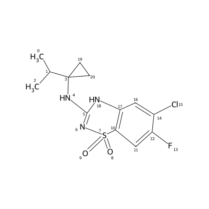 CC(C)C1(NC2=NS(=O)(=O)c3cc(F)c(Cl)cc3N2)CC1